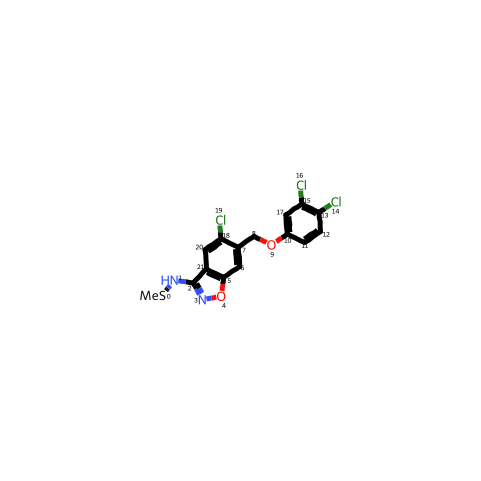 CSNc1noc2cc(COc3ccc(Cl)c(Cl)c3)c(Cl)cc12